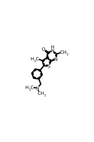 Cc1nc2sc(-c3cccc(CN(C)C)c3)c(C)c2c(=O)[nH]1